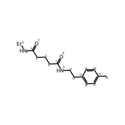 CCNC(=O)CCCC(=O)NCCc1ccc(C)cc1